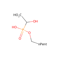 CCCCCCOP(=O)(O)C(O)C(=O)O